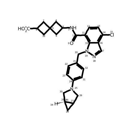 O=C(NC1CC2(C1)CC(C(=O)O)C2)c1ccc(Cl)c2cnn(Cc3ccc(N4CC5C[C@H]5C4)cc3)c12